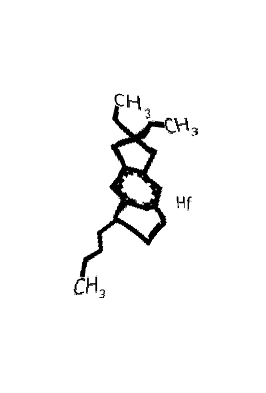 CCCC[C]1C=Cc2cc3c(cc21)CC(CC)(CC)C3.[Hf]